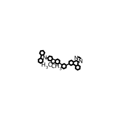 CC1(C)c2cc(-c3cccc(-c4ccc5c(c4)c4ccccc4c4nccnc54)c3)ccc2-c2ccc(-n3c4ccccc4c4ccccc43)cc21